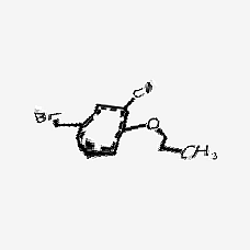 CCOc1ccc(CBr)cc1Cl